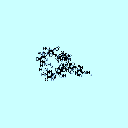 COC[C@H]1[C@@H](O)[C@H](n2c[n+](C)c3c(=O)[nH]c(N)nc32)O[C@@H]1COP(O)(=S)OP(=O)(O)OP(=O)(O)OC[C@H]1O[C@@H](n2cnc3c(N)ncnc32)[C@H](OC)[C@@H]1OP(=O)([O-])OC[C@H]1O[C@@H](n2cnc3c(=O)[nH]c(N)nc32)[C@H](O)[C@@H]1O